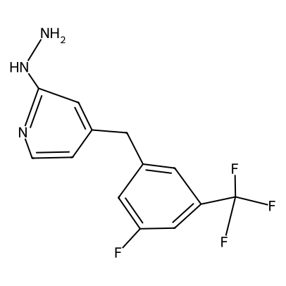 NNc1cc(Cc2cc(F)cc(C(F)(F)F)c2)ccn1